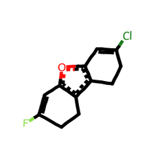 FC1=Cc2oc3c(c2CC1)CCC(Cl)=C3